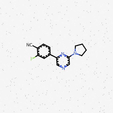 N#Cc1ccc(-c2cncc(N3CCCC3)n2)cc1F